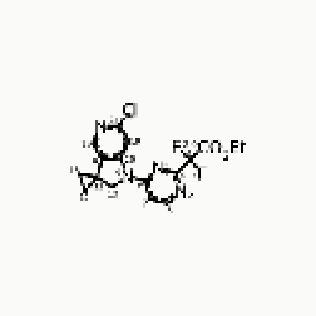 CCOC(=O)C(F)(F)c1nccc(N2CC3(CC3)c3cnc(Cl)cc32)n1